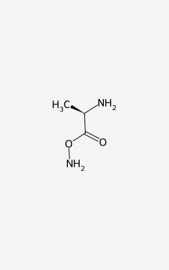 C[C@@H](N)C(=O)ON